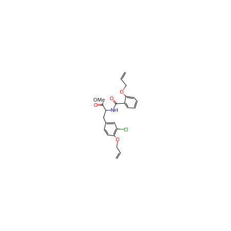 C=CCOc1ccc(CC(NC(=O)c2ccccc2OCC=C)C(=O)OC)cc1Cl